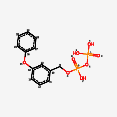 O=P(O)(O)OP(=O)(O)OCc1cccc(Oc2ccccc2)c1